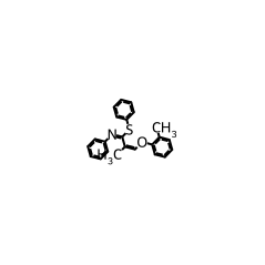 CC(=COc1ccccc1C)C(=Nc1ccccc1)Sc1ccccc1